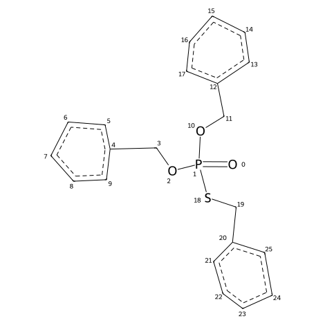 O=P(OCc1ccccc1)(OCc1ccccc1)SCc1ccccc1